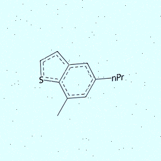 CCCc1cc(C)c2sccc2c1